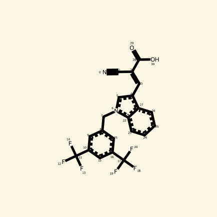 N#C/C(=C\c1cn(Cc2cc(C(F)(F)F)cc(C(F)(F)F)c2)c2ccccc12)C(=O)O